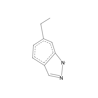 CCc1ccc2c(c1)[N]N=C2